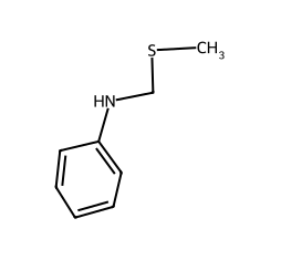 CSCNc1ccccc1